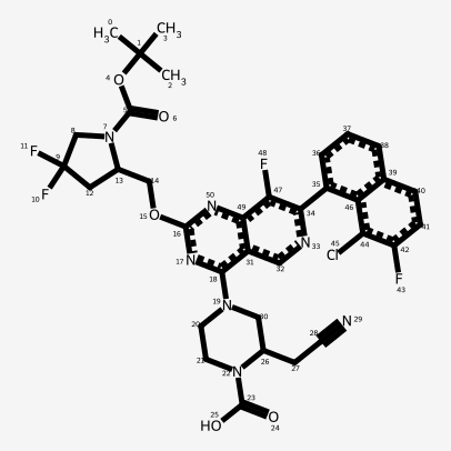 CC(C)(C)OC(=O)N1CC(F)(F)CC1COc1nc(N2CCN(C(=O)O)C(CC#N)C2)c2cnc(-c3cccc4ccc(F)c(Cl)c34)c(F)c2n1